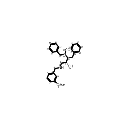 COc1cccc(CNC[C@@H](O)[C@H](Cc2ccccc2)N(Cc2ccccc2)C(=O)O)c1